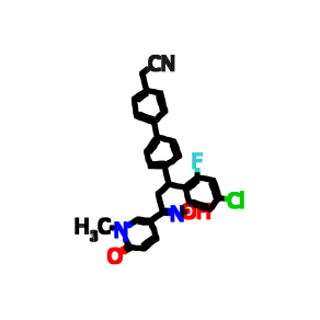 Cn1cc(/C(CC(c2ccc(-c3ccc(CC#N)cc3)cc2)c2ccc(Cl)cc2F)=N/O)ccc1=O